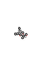 c1ccc(-c2nc(-c3ccccc3)nc(-c3cc4ccccc4cc3-c3ccc(-c4cc5c6ccccc6oc5c5ccccc45)cc3)n2)cc1